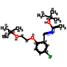 C=C(/N=C/c1cc(F)ccc1OCCO[Si](C)(C)C(C)(C)C)O[Si](C)(C)C